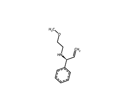 C=C[C@H](NCCOC)c1ccccc1